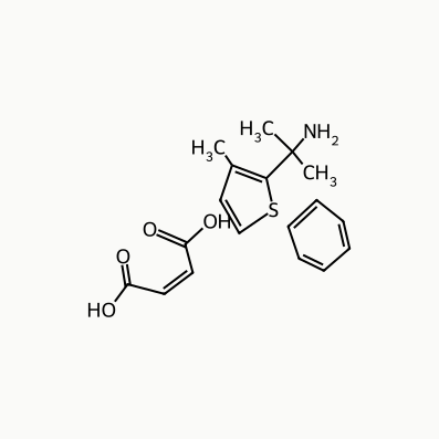 Cc1ccsc1C(C)(C)N.O=C(O)/C=C\C(=O)O.c1ccccc1